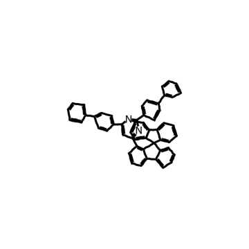 c1ccc(-c2ccc(-c3cc(-c4cccc5c4C4(c6ccccc6-c6ccccc64)c4ccccc4-5)nc(-c4ccc(-c5ccccc5)cc4)n3)cc2)cc1